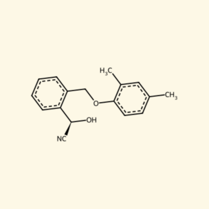 Cc1ccc(OCc2ccccc2[C@@H](O)C#N)c(C)c1